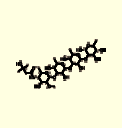 COC1C(O)[C@H](NC(=O)CC(C)(C)O)C(C)O[C@H]1OC1C(O)[C@H](OC2[C@H](O)C(OC3C(O)[C@@H](O)C(C)O[C@H]3O)OC(C)[C@@H]2O)OC(C)[C@@H]1O